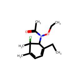 CCON(C(C)=O)C1C(CC)=CC=C(C)C1(C)Cl